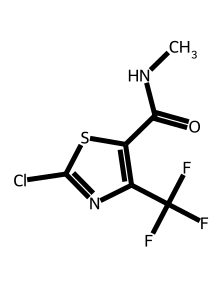 CNC(=O)c1sc(Cl)nc1C(F)(F)F